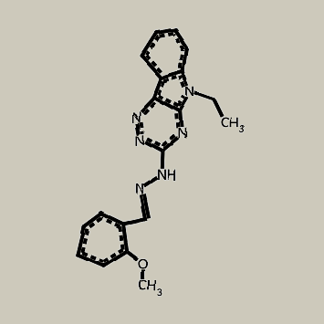 CCn1c2ccccc2c2nnc(NN=Cc3ccccc3OC)nc21